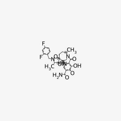 CC1[C@H](O)[C@]2(CC[C@H](C)N3C[C@H]2n2cc(C(N)=O)c(=O)c(O)c2C3=O)ON1Cc1ccc(F)cc1F